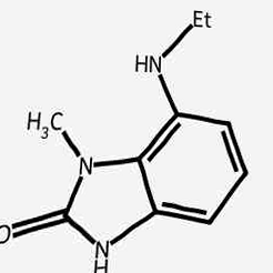 CCNc1cccc2[nH]c(=O)n(C)c12